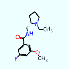 CCN1CCC[C@H]1CNC(=O)c1cc(I)cc(OC)c1